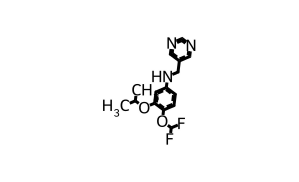 CC(C)Oc1cc(NCc2cncnc2)ccc1OC(F)F